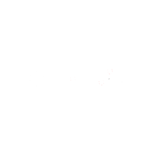 CC=CC(=O)OCCCOCCCc1ccccc1